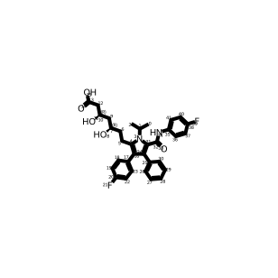 CC(C)n1c(CC[C@@H](O)C[C@@H](O)CC(=O)O)c(-c2ccc(F)cc2)c(-c2ccccc2)c1C(=O)Nc1ccc(F)cc1